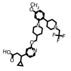 COc1ccc(C2CCN(CC(F)(F)F)CC2)c(N2CCC(COc3cc(C(CC(=O)O)C4CC4)ccn3)CC2)c1